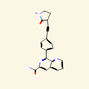 CN1CC[C@@](O)(C#Cc2ccc(-c3nc(C(N)=O)cc4cccnc34)cc2)C1=O